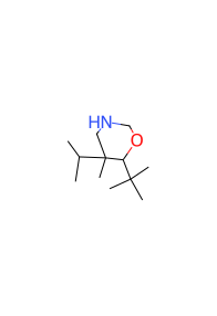 CC(C)C1(C)CNCOC1C(C)(C)C